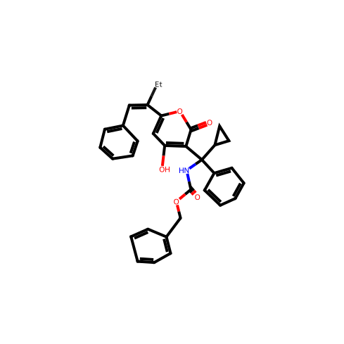 CCC(=Cc1ccccc1)c1cc(O)c(C(NC(=O)OCc2ccccc2)(c2ccccc2)C2CC2)c(=O)o1